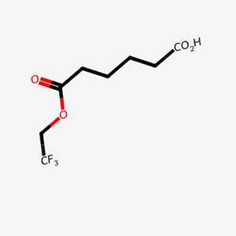 O=C(O)CCCCC(=O)OCC(F)(F)F